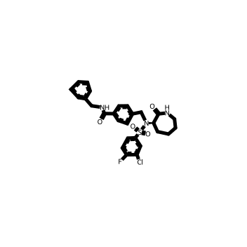 O=C(NCc1ccccc1)c1ccc(CN([C@@H]2CCCCNC2=O)S(=O)(=O)c2ccc(F)c(Cl)c2)cc1